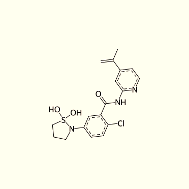 C=C(C)c1ccnc(NC(=O)c2cc(N3CCCS3(O)O)ccc2Cl)c1